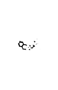 CC(C)(CS(=O)(=O)N1CCc2ccc(Br)cc2C1)N(O)C=O